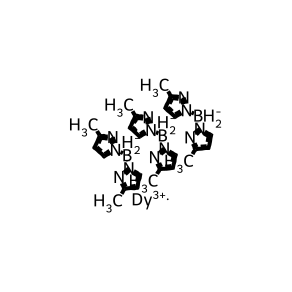 Cc1ccn([BH2-]n2ccc(C)n2)n1.Cc1ccn([BH2-]n2ccc(C)n2)n1.Cc1ccn([BH2-]n2ccc(C)n2)n1.[Dy+3]